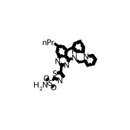 CCCc1cc(-c2ccccc2)c2c(NCc3ccccn3)nc(-c3cnc(S(N)(=O)=O)s3)nc2c1